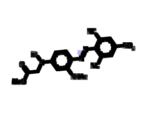 CCN(CC(=O)OC)c1ccc(/N=N/c2c(C#N)cc([N+](=O)[O-])cc2C#N)c(NC(C)=O)c1